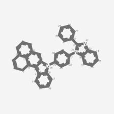 C1=Cc2cccc3cc4c(c(c23)C1)c1ccccc1n4-c1ccc(-n2c(-c3ccccc3)nc3ccccc32)cc1